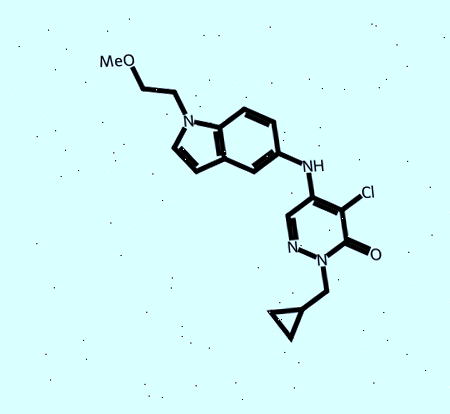 COCCn1ccc2cc(Nc3cnn(CC4CC4)c(=O)c3Cl)ccc21